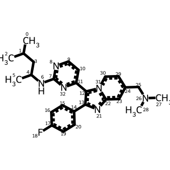 CC(C)CC(C)Nc1nccc(-c2c(-c3ccc(F)cc3)nc3cc(CN(C)C)ccn23)n1